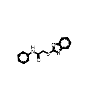 O=C(CSc1nc2ccccc2o1)Nc1ccccc1